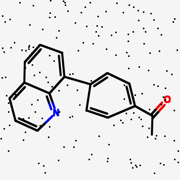 CC(=O)c1ccc(-c2cccc3cccnc23)cc1